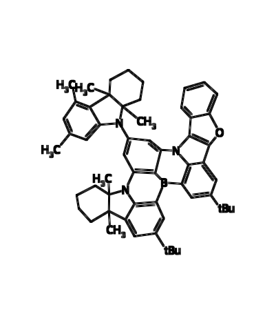 Cc1cc(C)c2c(c1)N(c1cc3c4c(c1)-n1c5c(cc(C(C)(C)C)cc5c5oc6ccccc6c51)B4c1cc(C(C)(C)C)cc4c1N3C1(C)CCCCC41C)C1(C)CCCCC21C